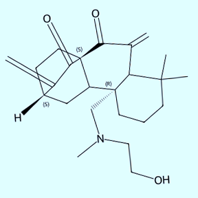 C=C1C(=O)[C@@]23CC[C@@H](CC2[C@]2(CN(C)CCO)CCCC(C)(C)C12)C(=C)C3=O